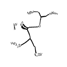 CCCCCCCCCC(CCCC)OC(=O)C(CC(=O)[O-])S(=O)(=O)O.[K+]